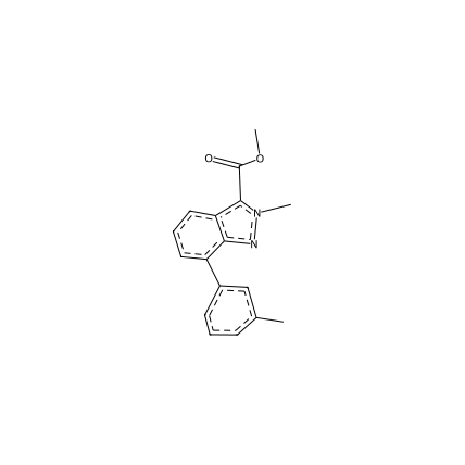 COC(=O)c1c2cccc(-c3cccc(C)c3)c2nn1C